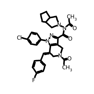 CC(=O)N1C/C(=C\c2ccc(F)cc2)c2c(c(C(=O)N(C(C)=O)N3CC4CCCC4C3)nn2-c2ccc(Cl)cc2)C1